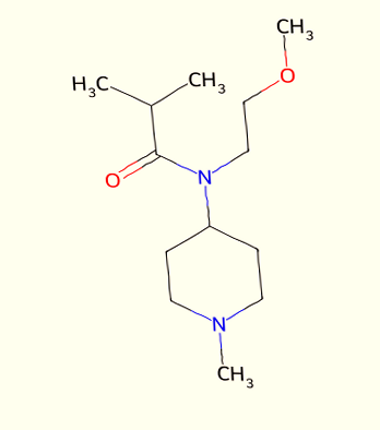 COCCN(C(=O)C(C)C)C1CCN(C)CC1